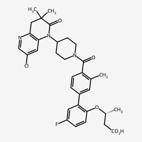 Cc1cc(-c2cc(F)ccc2O[C@H](C)CC(=O)O)ccc1C(=O)N1CCC(N2C(=O)C(C)(C)Cc3ncc(Cl)cc32)CC1